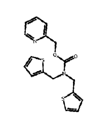 O=C(OCc1ccccn1)N(Cc1cccs1)Cc1cccs1